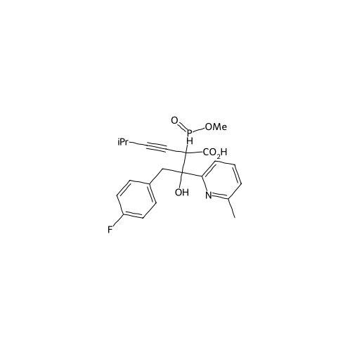 CO[PH](=O)C(C#CC(C)C)(C(=O)O)C(O)(Cc1ccc(F)cc1)c1cccc(C)n1